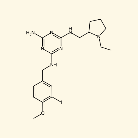 CCN1CCCC1CNc1nc(N)nc(NCc2ccc(OC)c(I)c2)n1